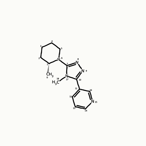 C[C@@H]1CCCCN1c1nnc(-c2cccnc2)n1C